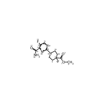 COC(=O)C1(F)CCN(c2ncc(F)c(C(N)=O)n2)CC1